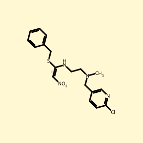 CN(CCN/C(=C\[N+](=O)[O-])SCc1ccccc1)Cc1ccc(Cl)nc1